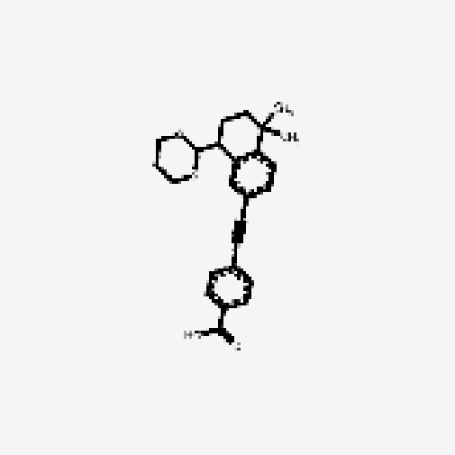 CC1(C)CCC(C2SCCCS2)c2cc(C#Cc3ccc(C(=O)O)cc3)ccc21